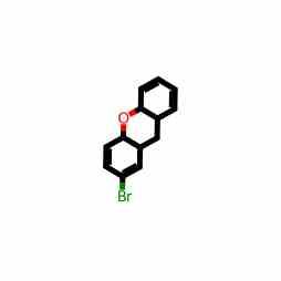 BrC1=CC2CC3C=CC=CC3OC2C=C1